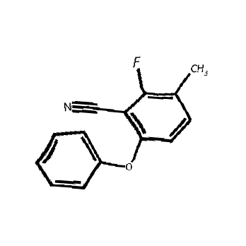 Cc1ccc(Oc2ccccc2)c(C#N)c1F